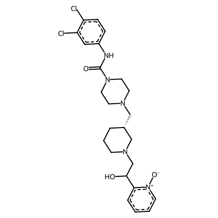 O=C(Nc1ccc(Cl)c(Cl)c1)N1CCN(C[C@H]2CCCN(CC(O)c3cccc[n+]3[O-])C2)CC1